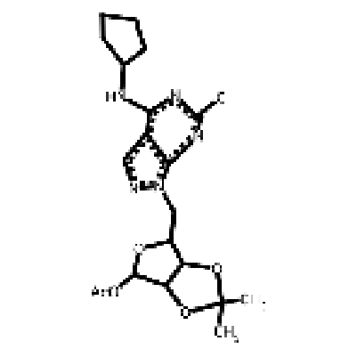 CC(=O)OC1OC(Cn2ncc3c(NC4CCCC4)nc(Cl)nc32)C2OC(C)(C)OC12